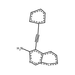 Nc1ncc2ccccc2c1C#Cc1ccccc1